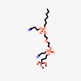 CCCCCCCOP(=O)(OCCC#N)OCCOCCOP(=O)(OCCC#N)OCCC[Si](OC)(OC)OC